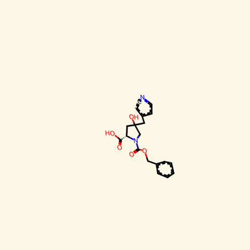 O=C(O)[C@@H]1CC(O)(Cc2ccncc2)CN1C(=O)OCc1ccccc1